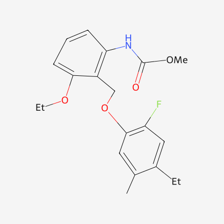 CCOc1cccc(NC(=O)OC)c1COc1cc(C)c(CC)cc1F